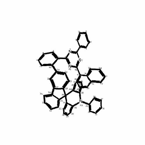 c1ccc(-c2nc(-c3ccccc3-c3ccc4c(c3)-c3ccccc3C43c4ccccc4N(c4ccccc4)c4ccccc43)nc(-c3cccc4ccccc34)n2)cc1